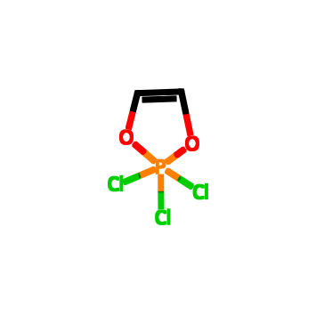 ClP1(Cl)(Cl)OC=CO1